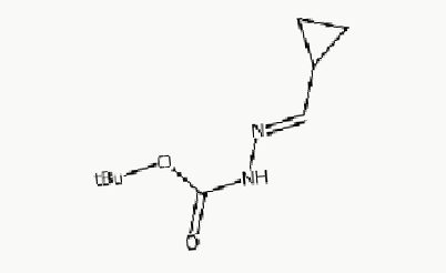 CC(C)(C)OC(=O)NN=CC1CC1